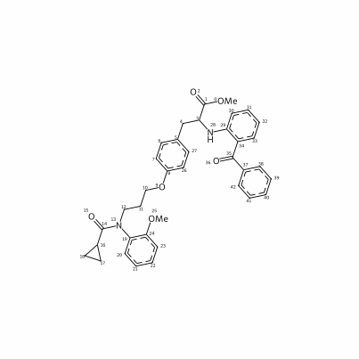 COC(=O)C(Cc1ccc(OCCCN(C(=O)C2CC2)c2ccccc2OC)cc1)Nc1ccccc1C(=O)c1ccccc1